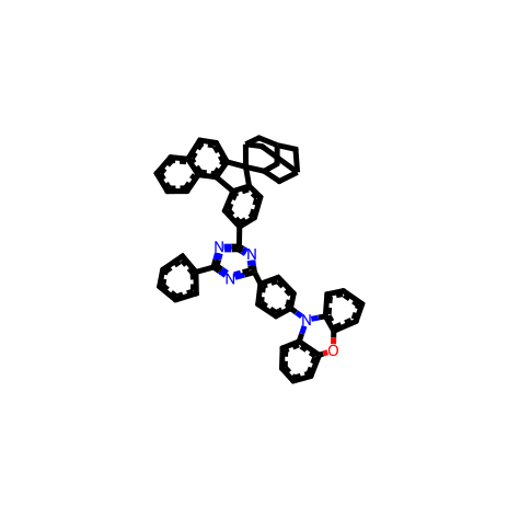 c1ccc(-c2nc(-c3ccc(N4c5ccccc5Oc5ccccc54)cc3)nc(-c3ccc4c(c3)-c3c(ccc5ccccc35)C43C4CC5CC(C4)CC3C5)n2)cc1